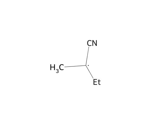 [CH2]C[C](C)C#N